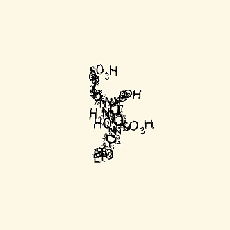 CCS(=O)(=O)CCc1ccc(N=Nc2c(S(=O)(=O)O)cc3cc(SOOO)c(N=Nc4ccc(SC#COOS(=O)(=O)O)cc4)c(N)c3c2O)cc1